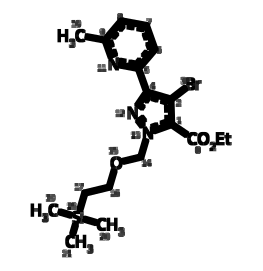 CCOC(=O)c1c(Br)c(-c2cccc(C)n2)nn1COCC[Si](C)(C)C